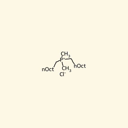 CCCCCCCCC[P+](C)(C)CCCCCCCCC.[Cl-]